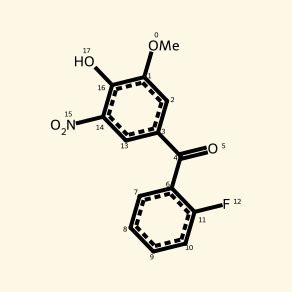 COc1cc(C(=O)c2ccccc2F)cc([N+](=O)[O-])c1O